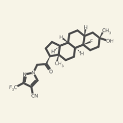 C[C@@]1(O)CC[C@@]2(F)[C@H](CC[C@H]3[C@@H]4CC[C@H](C(=O)Cn5cc(C#N)c(C(F)(F)F)n5)[C@@]4(C)CC[C@@H]32)C1